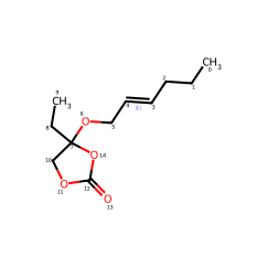 CCC/C=C/COC1(CC)COC(=O)O1